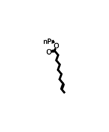 C/C=C/CCCCCCC(=O)OCCC